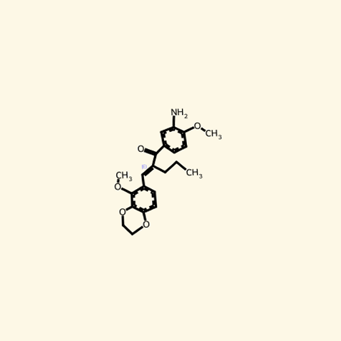 CCC/C(=C\c1ccc2c(c1OC)OCCO2)C(=O)c1ccc(OC)c(N)c1